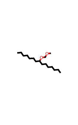 CCCCCCCC(CCCCCCC)OCOC